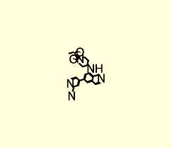 CCS(=O)(=O)N1CCC(Nc2cc(-c3ccnc(C#N)c3)cc3ccncc23)CC1